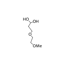 COCCOCCC(O)O